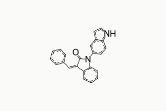 O=C1C(=Cc2ccccc2)c2ccccc2N1c1ccc2[nH]ccc2c1